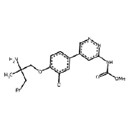 COC(=O)Nc1cc(-c2ccc(OCC(C)(N)CC(C)C)c(Cl)c2)cnn1